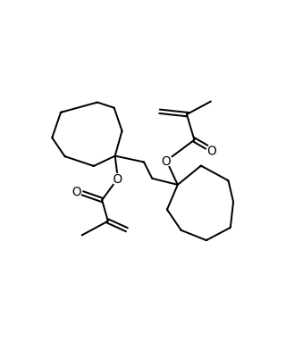 C=C(C)C(=O)OC1(CCC2(OC(=O)C(=C)C)CCCCCCC2)CCCCCCC1